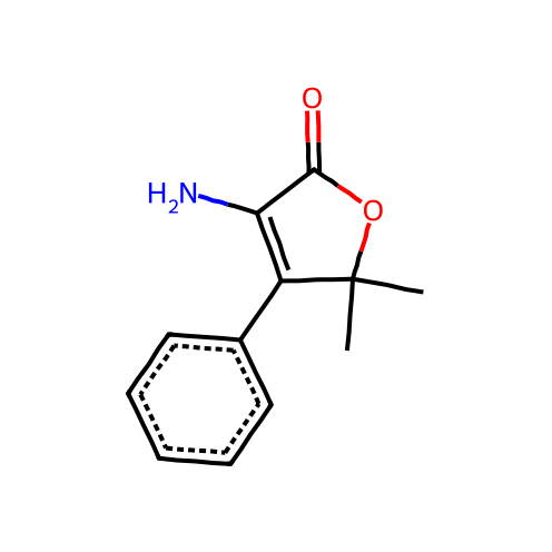 CC1(C)OC(=O)C(N)=C1c1ccccc1